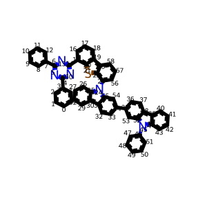 c1ccc(-c2nc(-c3ccccc3)nc(-c3cccc4c3sc3c(-n5c6ccccc6c6ccc(-c7ccc8c9ccccc9n(-c9ccccc9)c8c7)cc65)cccc34)n2)cc1